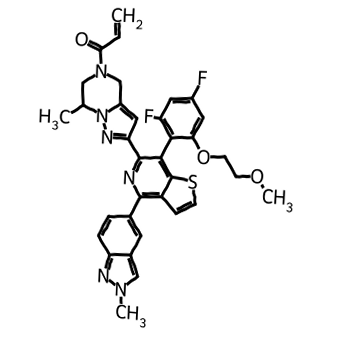 C=CC(=O)N1Cc2cc(-c3nc(-c4ccc5nn(C)cc5c4)c4ccsc4c3-c3c(F)cc(F)cc3OCCOC)nn2C(C)C1